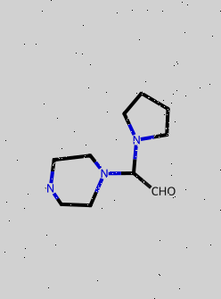 O=CC(N1CCCC1)N1CC[N]CC1